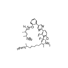 CCCCCC(C)CCCCCCC(C)[SiH2]C1Oc2ccc(-c3ncc(-c4ccccc4O[SiH2]CCC(C)CC(C)CCCC)cn3)c(F)c2C1(F)F